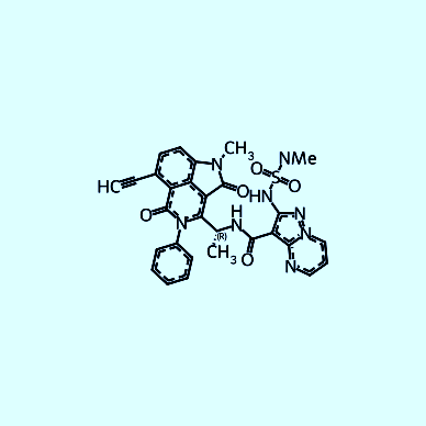 C#Cc1ccc2c3c(c([C@@H](C)NC(=O)c4c(NS(=O)(=O)NC)nn5cccnc45)n(-c4ccccc4)c(=O)c13)C(=O)N2C